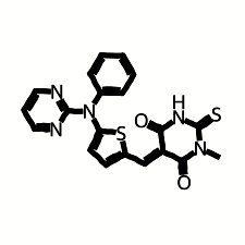 CN1C(=O)/C(=C/c2ccc(N(c3ccccc3)c3ncccn3)s2)C(=O)NC1=S